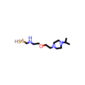 CC(C)N1CCN(CCOCCNCSS)CC1